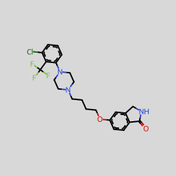 O=C1NCc2cc(OCCCCN3CCN(c4cccc(Cl)c4C(F)(F)F)CC3)ccc21